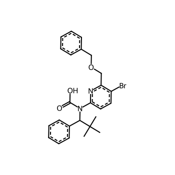 CC(C)(C)C(c1ccccc1)N(C(=O)O)c1ccc(Br)c(COCc2ccccc2)n1